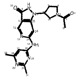 CC(=O)N1CCC(n2[nH]c(=O)c3cnc(Nc4cc(C)nc(C)n4)cc32)C1